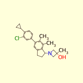 Cc1c(-c2ccc(C3CC3)c(Cl)c2)cc2c(c1C)C(N1CC(C)(O)C1)CC2